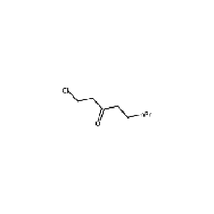 CCCC[CH]C(=O)CCCl